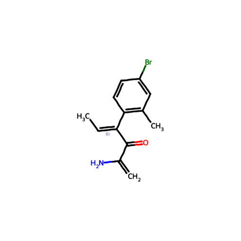 C=C(N)C(=O)/C(=C/C)c1ccc(Br)cc1C